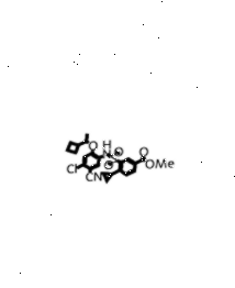 COC(=O)c1ccc(C2CC2)c(S(=O)(=O)Nc2cc(C#N)c(Cl)cc2OC(C)C2CCC2)c1